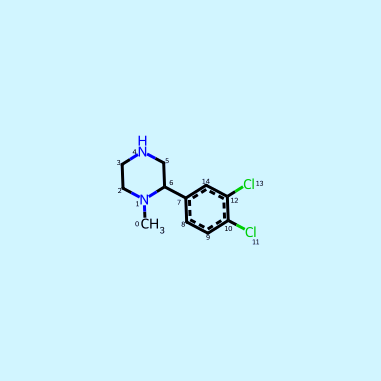 CN1CCNCC1c1ccc(Cl)c(Cl)c1